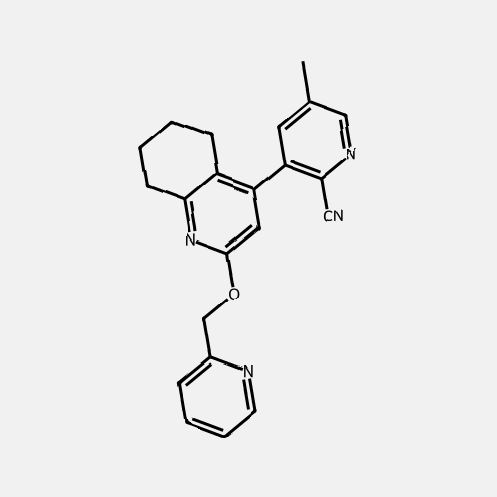 Cc1cnc(C#N)c(-c2cc(OCc3ccccn3)nc3c2CCCC3)c1